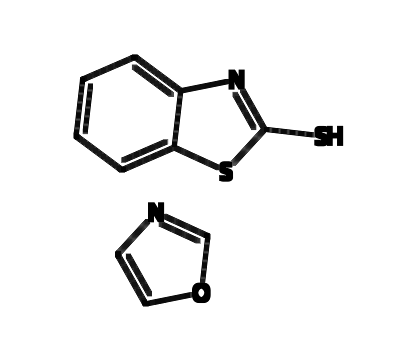 Sc1nc2ccccc2s1.c1cocn1